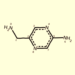 NCc1cnc(N)cn1